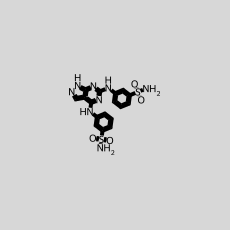 NS(=O)(=O)c1cccc(Nc2nc(Nc3cccc(S(N)(=O)=O)c3)c3cn[nH]c3n2)c1